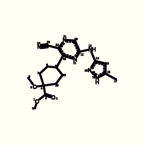 COC(=O)C1(OC)CCC(c2nc(Nc3cc(C)[nH]n3)cnc2C#N)CC1